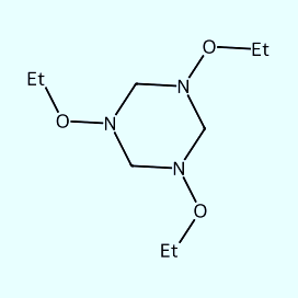 CCON1CN(OCC)CN(OCC)C1